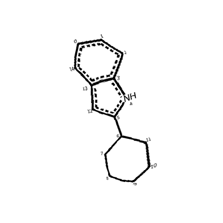 c1ccc2[nH]c(C3CCCCC3)cc2c1